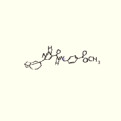 COC(=O)c1ccc(/C=N/NC(=O)c2cc(C34CCCC5CC(CC5C3)C4)n[nH]2)cc1